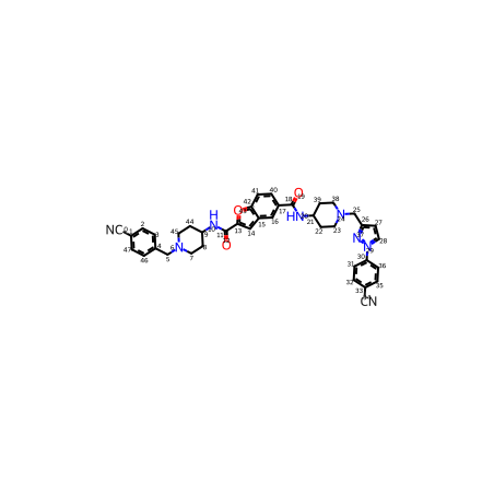 N#Cc1ccc(CN2CCC(NC(=O)c3cc4cc(C(=O)NC5CCN(Cc6ccn(-c7ccc(C#N)cc7)n6)CC5)ccc4o3)CC2)cc1